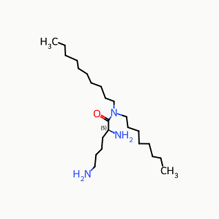 CCCCCCCCCCN(CCCCCCCC)C(=O)[C@@H](N)CCCCN